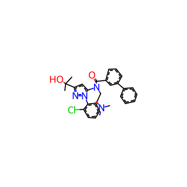 CN(C)CCN(C(=O)c1cccc(-c2ccccc2)c1)c1cc(C(C)(C)O)nn1-c1ccccc1Cl